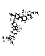 C[C@@H]1[C@H](N2CCN(C)C2=O)CCCN1c1cnc(C#N)c(Nc2ccc(C3(C)CCN(C(=O)OC(C)(C)C)CC3)cc2)n1